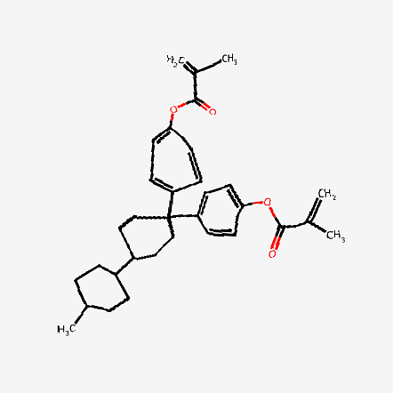 C=C(C)C(=O)Oc1ccc(C2(c3ccc(OC(=O)C(=C)C)cc3)CCC(C3CCC(C)CC3)CC2)cc1